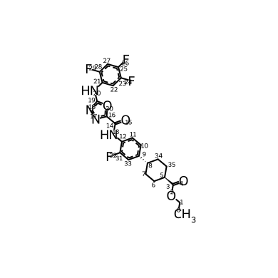 CCOC(=O)[C@H]1CC[C@H](c2ccc(NC(=O)c3nnc(Nc4cc(F)c(F)cc4F)o3)c(F)c2)CC1